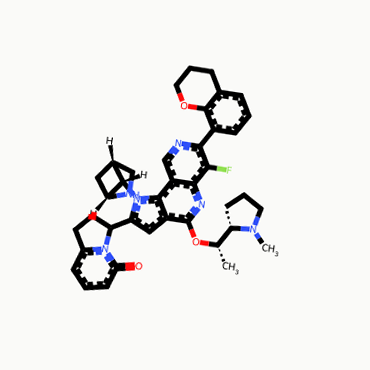 C[C@H](Oc1nc2c(F)c(-c3cccc4c3OCCC4)ncc2c2c1cc(C1CCc3cccc(=O)n31)n2[C@H]1[C@H]2CN[C@@H]1C2)[C@@H]1CCCN1C